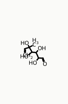 C=CC(C)(O)C(O)C(O)C(O)C=O